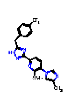 COc1nc(-c2n[nH]c(Cc3ccc(C(F)(F)F)cc3)n2)ccc1-n1cnc(C)c1